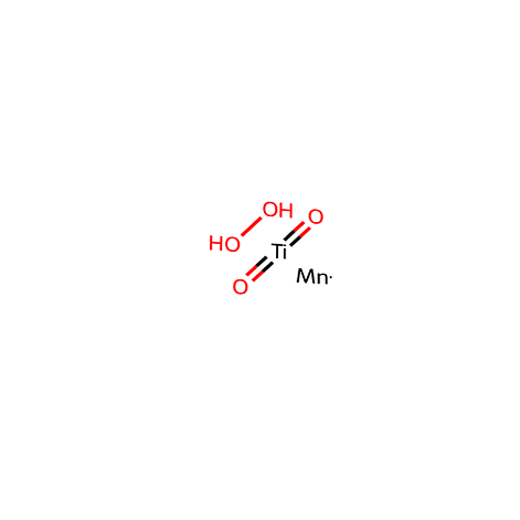 OO.[Mn].[O]=[Ti]=[O]